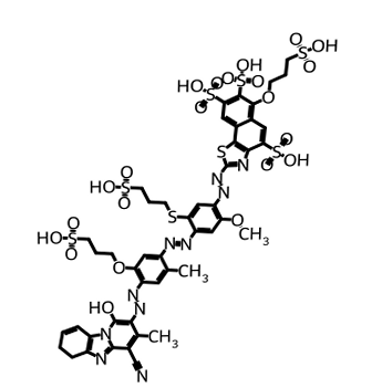 COc1cc(N=Nc2cc(OCCCS(=O)(=O)O)c(N=Nc3c(C)c(C#N)c4nc5c(n4c3O)C=CCC5)cc2C)c(SCCCS(=O)(=O)O)cc1N=Nc1nc2c(S(=O)(=O)O)cc3c(OCCCS(=O)(=O)O)c(S(=O)(=O)O)c(S(=O)(=O)O)cc3c2s1